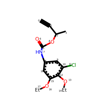 C#CC(C)OC(=O)Nc1cc(Cl)c(OCC)c(OCC)c1